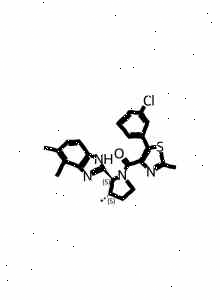 Cc1nc(C(=O)N2CC[C@H](C)[C@H]2c2nc3c(C)c(C)ccc3[nH]2)c(-c2cccc(Cl)c2)s1